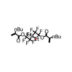 C=C(CCCC)C(=O)OC(F)(F)C(F)(F)[Si](CC)(CC)C(F)(F)C(F)(F)OC(=O)C(=C)CCCC